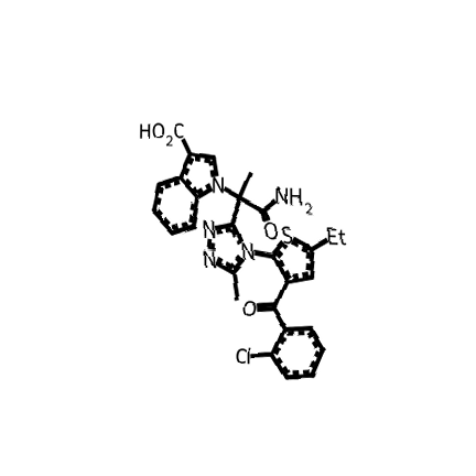 CCc1cc(C(=O)c2ccccc2Cl)c(-n2c(C)nnc2C(C)(C(N)=O)n2cc(C(=O)O)c3ccccc32)s1